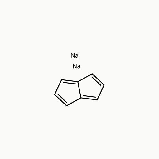 C1=CC2=CC=CC2=C1.[Na].[Na]